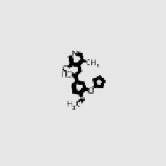 COc1ccc(C(O)Cc2c(C)cncc2Cl)cc1OC1CCCC1